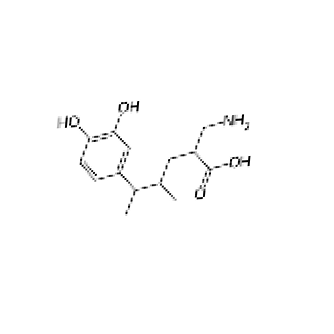 CC(CC(CN)C(=O)O)C(C)c1ccc(O)c(O)c1